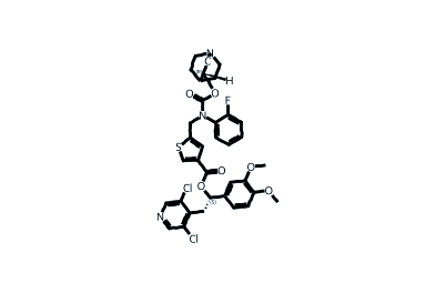 COc1ccc([C@H](Cc2c(Cl)cncc2Cl)OC(=O)c2csc(CN(C(=O)O[C@H]3CN4CCC3CC4)c3ccccc3F)c2)cc1OC